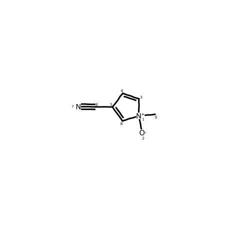 C[N+]1([O])C=CC(C#N)=C1